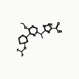 CCOc1ncc(C(C)c2n[nH]c(C(=O)O)n2)nc1-c1cccc(OC(F)F)c1